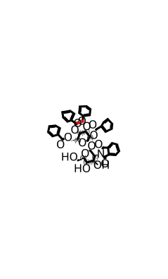 O=C(OC[C@H]1OC(OC2O[C@H](CO)[C@@H](O)[C@H](O)[C@H]2N2C(=O)c3ccccc3C2=O)[C@H](OC(=O)c2ccccc2)[C@@H](OC(=O)c2ccccc2)[C@H]1OC(=O)c1ccccc1)c1ccccc1